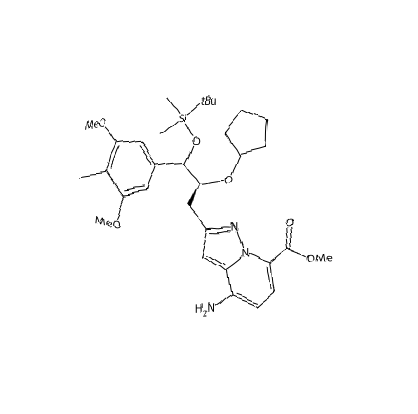 COC(=O)c1ccc(N)c2cc(C[C@H](OC3CCCC3)C(O[Si](C)(C)C(C)(C)C)c3cc(OC)c(C)c(OC)c3)nn12